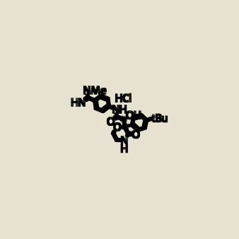 CNC(=N)c1ccc(NC(=O)[C@H](O)[C@@]2(c3ccc(C(C)(C)C)cc3)OCCNC2=O)cc1.Cl